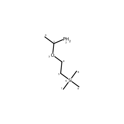 CC(P)OCC[Si](C)(C)C